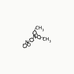 CCc1ccc2c(c1)c1cc(CC)ccc1n2-c1ccc(-c2nc3ccccc3o2)cc1